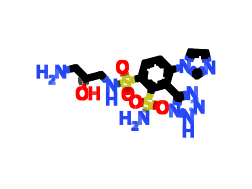 NC[C@@H](O)CNS(=O)(=O)c1ccc(-n2ccnc2)c(-c2nn[nH]n2)c1S(N)(=O)=O